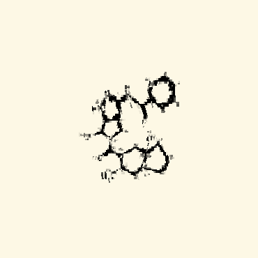 CC1c2[nH]nc(NC(=O)c3ccccn3)c2CN1C(=O)N1C[C@@]2(C)CCCN2C[C@@H]1C